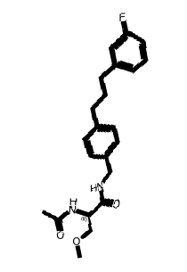 COC[C@@H](NC(C)=O)C(=O)NCc1ccc(CCCc2cccc(F)c2)cc1